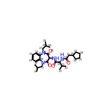 CC(C)CN1C(=O)C(NC(=O)[C@@H](NC(=O)CC2CCCC2)C(C)C)C(=O)N(CC(C)C)c2ccccc21